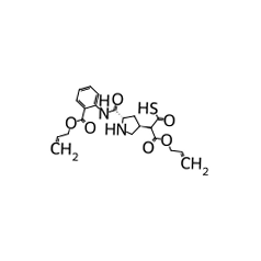 C=CCOC(=O)c1ccccc1NC(=O)[C@@H]1C[C@@H](C(C(=O)S)C(=O)OCC=C)CN1